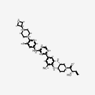 C=C[C@H](O)C(=O)N1CC[C@H](Oc2ccc(-c3ncnc(Nc4cnc(N5CCN(C6COC6)CC5)c(F)c4)n3)cc2C#N)[C@H](F)C1